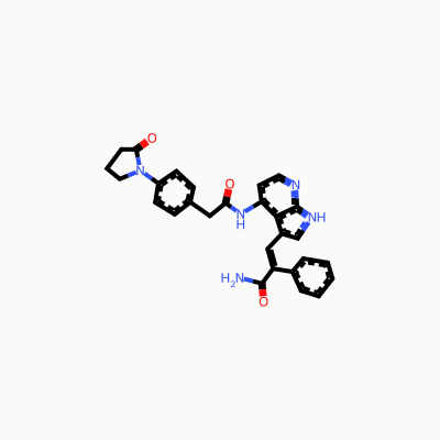 NC(=O)/C(=C/c1c[nH]c2nccc(NC(=O)Cc3ccc(N4CCCC4=O)cc3)c12)c1ccccc1